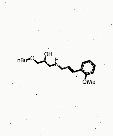 CCCCOCC(O)CNC/C=C/c1ccccc1OC